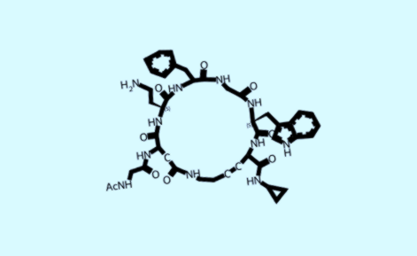 CC(=O)NCC(=O)NC1CC(=O)NCCCCC(C(=O)NC2CC2)NC(=O)[C@H](Cc2c[nH]c3ccccc23)NC(=O)CNC(=O)C(Cc2ccccc2)NC(=O)[C@H](CCN)NC1=O